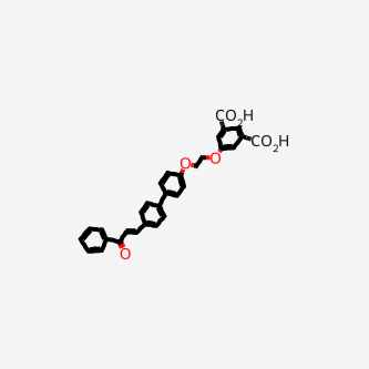 O=C(O)c1cc(OCCOc2ccc(-c3ccc(/C=C/C(=O)c4ccccc4)cc3)cc2)cc(C(=O)O)c1